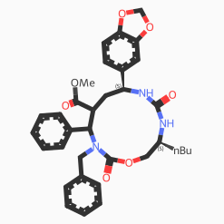 CCCC[C@H]1COC(=O)N(Cc2ccccc2)C(c2ccccc2)C(C(=O)OC)C[C@@H](c2ccc3c(c2)OCO3)NC(=O)N1